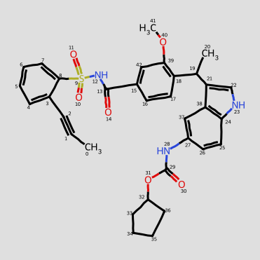 CC#Cc1ccccc1S(=O)(=O)NC(=O)c1ccc(C(C)c2c[nH]c3ccc(NC(=O)OC4CCCC4)cc23)c(OC)c1